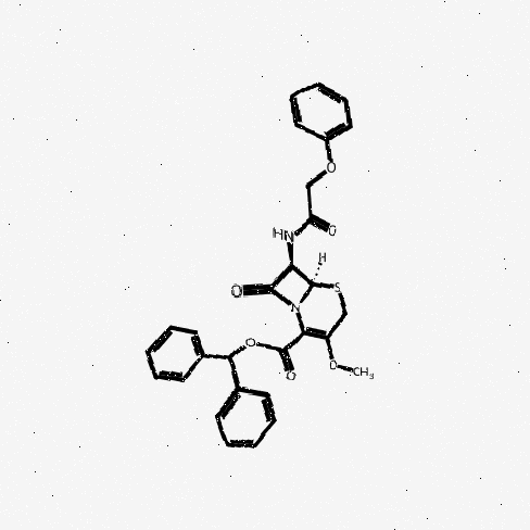 COC1=C(C(=O)OC(c2ccccc2)c2ccccc2)N2C(=O)[C@@H](NC(=O)COc3ccccc3)[C@H]2SC1